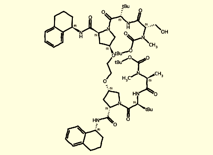 C[C@@H](C(=O)N[C@H](C(=O)N1C[C@@H](OCCO[C@H]2C[C@@H](C(=O)N[C@@H]3CCCc4ccccc43)N(C(=O)[C@@H](NC(=O)[C@H](CO)N(C)C(=O)OC(C)(C)C)C(C)(C)C)C2)C[C@H]1C(=O)N[C@@H]1CCCc2ccccc21)C(C)(C)C)N(C)C(=O)OC(C)(C)C